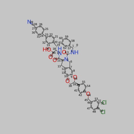 C[C@H](NC(=O)N1Cc2cc3c(cc2CC1C(=O)N[C@@H](Cc1ccc(-c2ccc(C#N)cc2)cc1)C(=O)O)OC[C@H](c1ccc(OCc2ccc(Cl)c(Cl)c2)cc1)O3)c1ccccc1